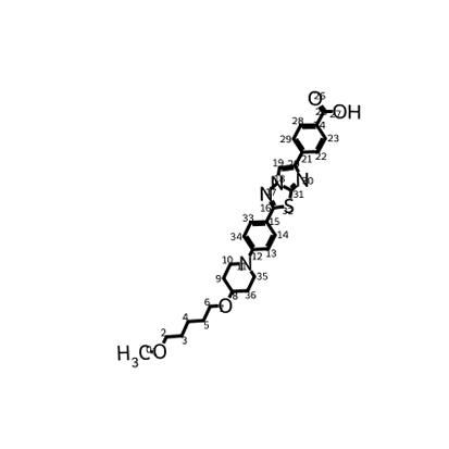 COCCCCCOC1CCN(c2ccc(-c3nn4cc(-c5ccc(C(=O)O)cc5)nc4s3)cc2)CC1